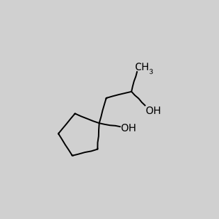 CC(O)CC1(O)CCCC1